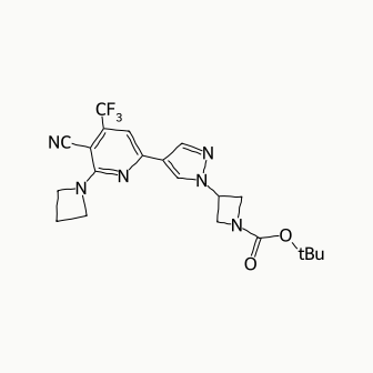 CC(C)(C)OC(=O)N1CC(n2cc(-c3cc(C(F)(F)F)c(C#N)c(N4CCC4)n3)cn2)C1